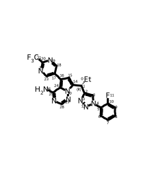 CC[C@H](c1cn(-c2ccccc2F)nn1)c1cc(-c2cnc(C(F)(F)F)nc2)c2c(N)ncnn12